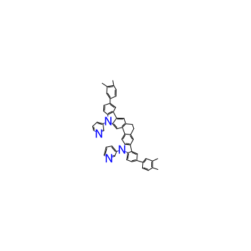 Cc1ccc(-c2ccc3c(c2)c2cc4c(cc2n3-c2cccnc2)-c2cc3c(cc2CC4)c2cc(-c4ccc(C)c(C)c4)ccc2n3-c2cccnc2)cc1C